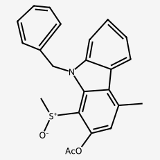 CC(=O)Oc1cc(C)c2c3ccccc3n(Cc3ccccc3)c2c1[S+](C)[O-]